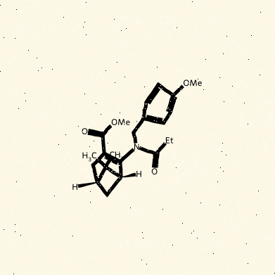 CCC(=O)N(Cc1ccc(OC)cc1)C1=C(C(=O)OC)C[C@H]2C[C@@H]1C2(C)C